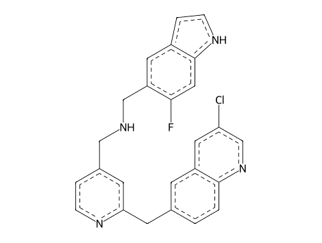 Fc1cc2[nH]ccc2cc1CNCc1ccnc(Cc2ccc3ncc(Cl)cc3c2)c1